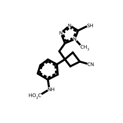 Cn1c(S)nnc1CC1(c2cccc(NC(=O)O)c2)CC(C#N)C1